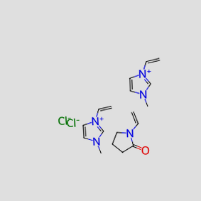 C=CN1CCCC1=O.C=C[n+]1ccn(C)c1.C=C[n+]1ccn(C)c1.[Cl-].[Cl-]